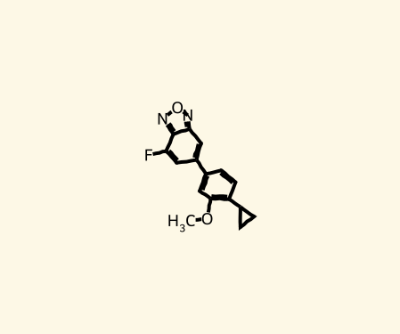 COc1cc(-c2cc(F)c3nonc3c2)ccc1C1CC1